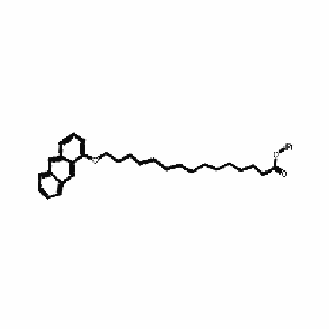 CC(C)OC(=O)CCCCCCCCCCCCCCOc1cccc2cc3ccccc3cc12